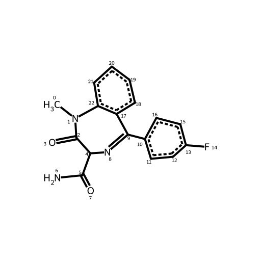 CN1C(=O)C(C(N)=O)N=C(c2ccc(F)cc2)c2ccccc21